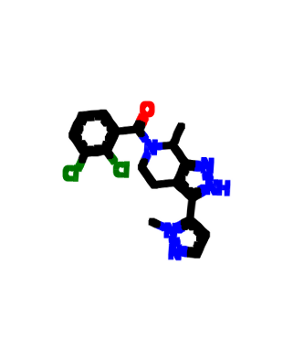 CC1c2n[nH]c(-c3ccnn3C)c2CCN1C(=O)c1cccc(Cl)c1Cl